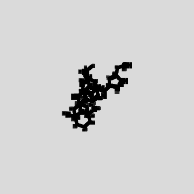 COc1cc(Nc2cc(CO)[nH]n2)nc(NC2C[C@H]3CCC[C@@H](C2)N3Cc2ccnc(C#N)c2)n1